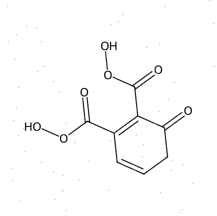 O=C1CC=CC(C(=O)OO)=C1C(=O)OO